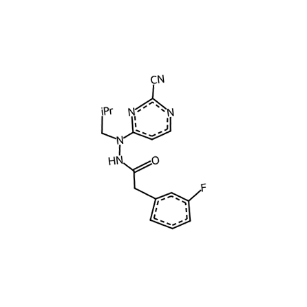 CC(C)CN(NC(=O)Cc1cccc(F)c1)c1ccnc(C#N)n1